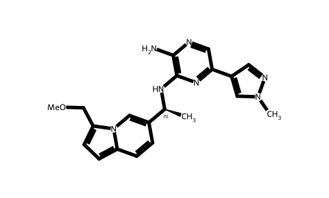 COCc1ccc2ccc([C@H](C)Nc3nc(-c4cnn(C)c4)cnc3N)cn12